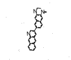 C=Nc1cc2ccc(-c3cnc4cc5ccccc5cc4c3)cc2cc1/N=C\C